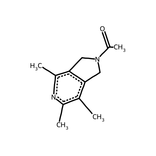 CC(=O)N1Cc2c(C)nc(C)c(C)c2C1